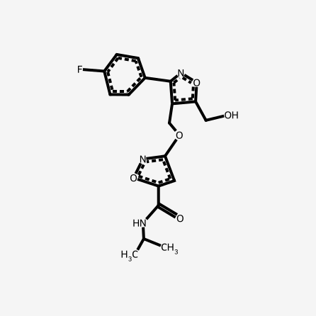 CC(C)NC(=O)c1cc(OCc2c(-c3ccc(F)cc3)noc2CO)no1